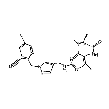 Cc1nc(NCc2cnn(Cc3ccc(F)cc3C#N)c2)nc2c1NC(=O)[C@H](C)N2C